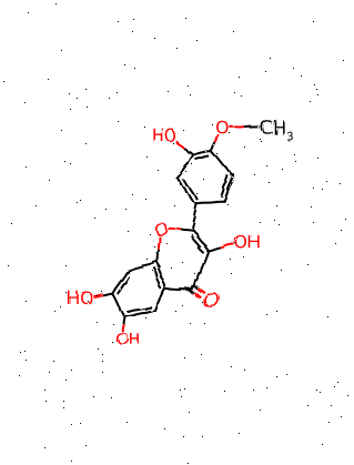 COc1ccc(-c2oc3cc(O)c(O)cc3c(=O)c2O)cc1O